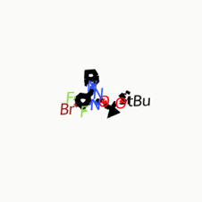 CC(C)(C)[Si](C)(C)OCC1(COc2nc(N3CC4CCC(C4)C3)c3cc(F)c(Br)c(F)c3n2)CC1